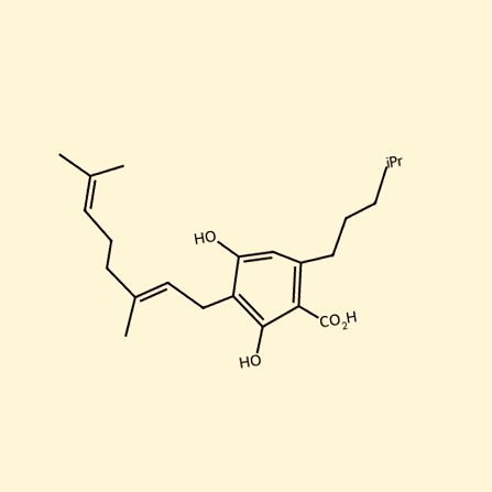 CC(C)=CCC/C(C)=C/Cc1c(O)cc(CCCC(C)C)c(C(=O)O)c1O